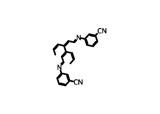 C\C=C/C(=C/C=N/c1cccc(C#N)c1)C(/C=C\C)=C/C=N/c1cccc(C#N)c1